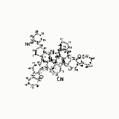 N#Cc1ccc(-c2nc(-c3ccccc3)nc(-c3cc(-c4ccccc4C#N)ccc3-n3c4ccccc4c4c5oc6ccccc6c5ccc43)n2)c(-n2c3ccccc3c3c4oc5ccccc5c4ccc32)c1